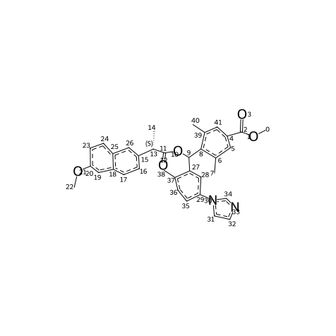 COC(=O)c1cc(C)c(C(OC(=O)[C@@H](C)c2ccc3cc(OC)ccc3c2)c2cc(-n3ccnc3)ccc2C)c(C)c1